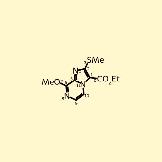 CCOC(=O)c1c(SC)nc2c(OC)nccn12